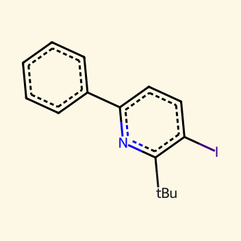 CC(C)(C)c1nc(-c2ccccc2)ccc1I